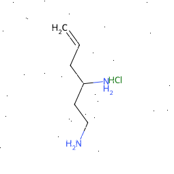 C=CCC(N)CCN.Cl